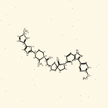 CC(C)Oc1ccc(-c2n[nH]c3ccc(N4CC[C@]5(CCN(CC(=O)N6CCN(c7ncc(-c8ncn(C)n8)s7)CC6C)C5)C4=O)nc23)cn1